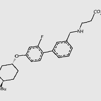 CC(C)(C)[C@H]1CC[C@H](Oc2ccc(-c3cccc(CNCCC(=O)O)c3)c(F)c2)CC1